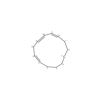 [C]1=CCCCCCCC=CC=CC1